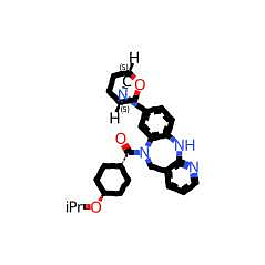 CC(C)O[C@H]1CC[C@H](C(=O)N2Cc3cccnc3Nc3ccc(N4C[C@@H]5CC[C@H]4CO5)cc32)CC1